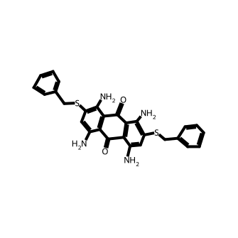 Nc1cc(SCc2ccccc2)c(N)c2c1C(=O)c1c(N)cc(SCc3ccccc3)c(N)c1C2=O